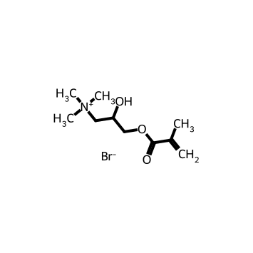 C=C(C)C(=O)OCC(O)C[N+](C)(C)C.[Br-]